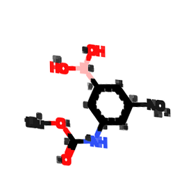 CC(C)(C)OC(=O)Nc1cc(B(O)O)cc([N+](=O)[O-])c1